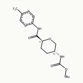 CC(C)(C)OC(=O)N[C@@H]1CC[C@@H](C(=O)Nc2cnc(C(F)(F)F)cn2)OC1